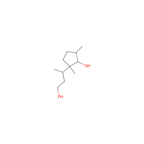 CC1CCC(C)(C(C)CCO)C1O